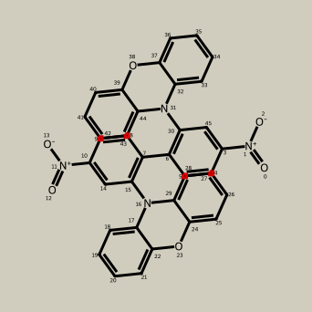 O=[N+]([O-])c1ccc(-c2ccc([N+](=O)[O-])cc2N2c3ccccc3Oc3ccccc32)c(N2c3ccccc3Oc3ccccc32)c1